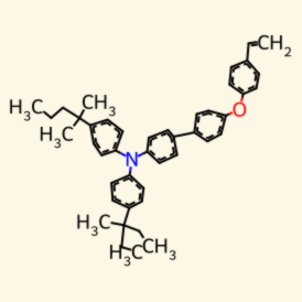 C=Cc1ccc(Oc2ccc(-c3ccc(N(c4ccc(C(C)(C)CCC)cc4)c4ccc(C(C)(CC)CC)cc4)cc3)cc2)cc1